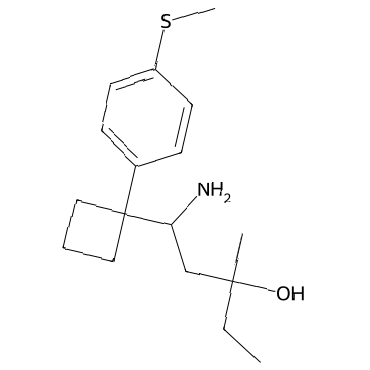 CCC(C)(O)CC(N)C1(c2ccc(SC)cc2)CCC1